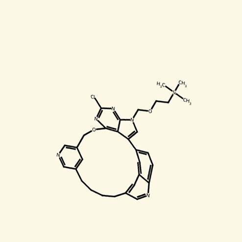 C[Si](C)(C)CCOCn1cc2c3c(nc(Cl)nc31)OCc1cncc(c1)CCCCc1cnc3ccc-2cc3c1